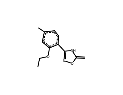 C=C1NC(c2ccc(C)cc2OCC)=NO1